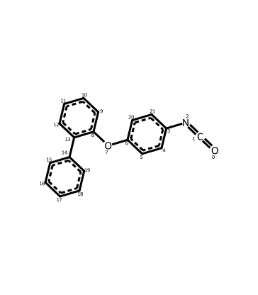 O=C=Nc1ccc(Oc2ccccc2-c2ccccc2)cc1